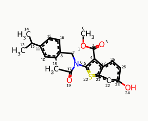 COC(=O)c1c(N(Cc2ccc(C(C)C)cc2)C(C)=O)sc2cc(O)ccc12